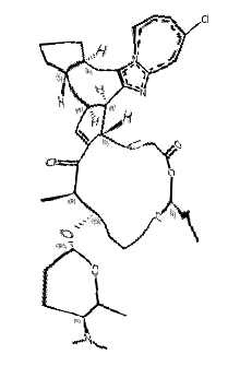 CC[C@H]1CCC[C@H](O[C@H]2CC[C@H](N(C)C)C(C)O2)[C@@H](C)C(=O)C2=C[C@H]3[C@@H]4CCC[C@H]4c4c(nc5cc(Cl)ccn45)[C@H]3[C@@H]2CC(=O)O1